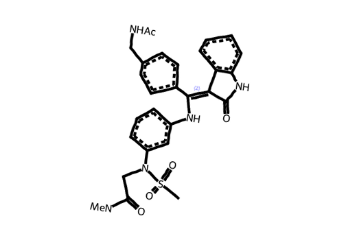 CNC(=O)CN(c1cccc(N/C(=C2\C(=O)Nc3ccccc32)c2ccc(CNC(C)=O)cc2)c1)S(C)(=O)=O